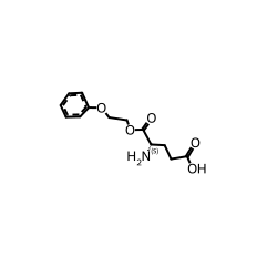 N[C@@H](CCC(=O)O)C(=O)OCCOc1ccccc1